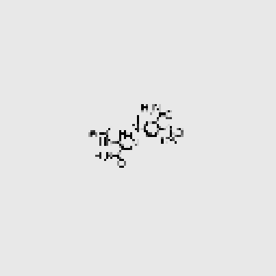 CC(C)[C@@H](C)Nc1nc(Nc2ccc(OS(C)(=O)=O)c(C(N)=O)c2)ncc1C(N)=O